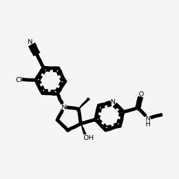 CNC(=O)c1ccc([C@]2(O)CCN(c3ccc(C#N)c(Cl)c3)[C@H]2C)cn1